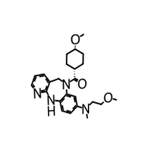 COCCN(C)c1ccc2c(c1)N(C(=O)[C@H]1CC[C@@H](OC)CC1)Cc1cccnc1N2